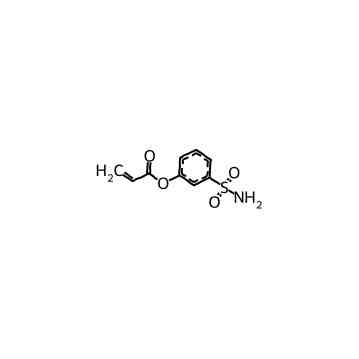 C=CC(=O)Oc1cccc(S(N)(=O)=O)c1